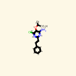 CCC(Oc1c(N)nc(C=Cc2ccccc2)nc1Cl)C(=O)O